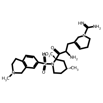 C[C@@H]1CCN(S(=O)(=O)c2ccc3c(c2)CN(C)CC3)[C@](C(=O)O)(C(=O)C(N)CC2=CCCN(C(=N)N)C2)C1